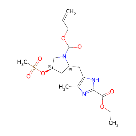 C=CCOC(=O)N1C[C@H](OS(C)(=O)=O)C[C@H]1Cc1[nH]c(C(=O)OCC)nc1C